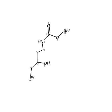 CC(C)CC(O)CCNC(=O)OC(C)(C)C